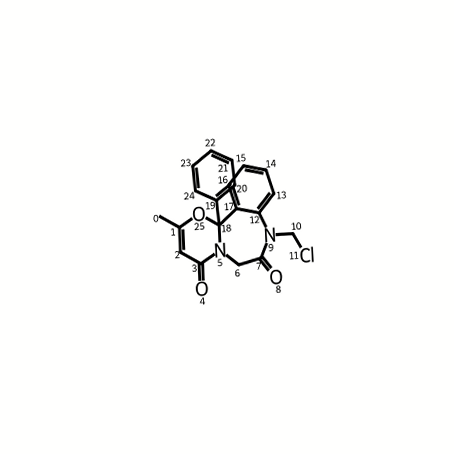 CC1=CC(=O)N2CC(=O)N(CCl)c3ccccc3C2(c2ccccc2)O1